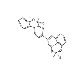 CP1(=O)Oc2cccc3cc(-c4ccc5c(c4)P(C)(=O)Oc4ccccc4-5)cc(c23)O1